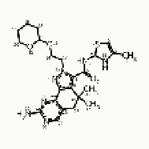 CC1=CSC(NC(=O)c2c3c(nn2CCOC2CCCCO2)-c2nc(N)ncc2CC3(C)C)N1